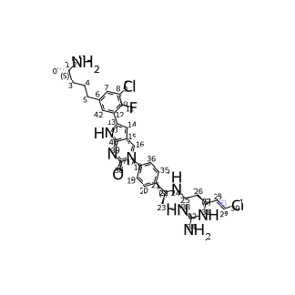 C[C@H](N)CCCc1cc(Cl)c(F)c(-c2cc3cn(-c4ccc([C@H](C)NCC[C@@H](/C=C/Cl)NC(=N)N)cc4)c(=O)nc3[nH]2)c1